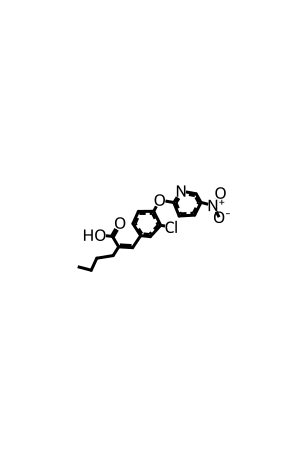 CCCCC(=Cc1ccc(Oc2ccc([N+](=O)[O-])cn2)c(Cl)c1)C(=O)O